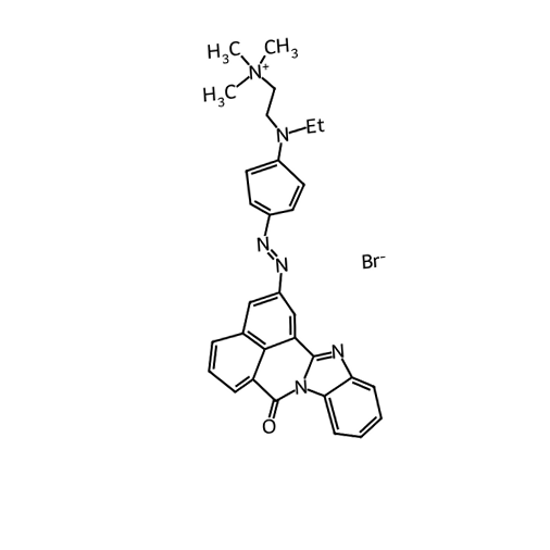 CCN(CC[N+](C)(C)C)c1ccc(/N=N/c2cc3cccc4c(=O)n5c6ccccc6nc5c(c2)c34)cc1.[Br-]